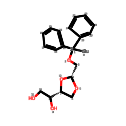 CC(C)(C)[Si](OC[C@@H]1OC[C@H](C(O)CO)O1)(c1ccccc1)c1ccccc1